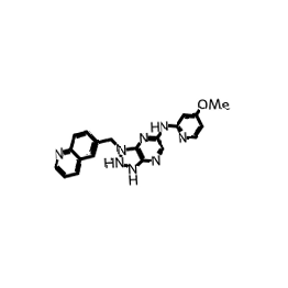 COc1ccnc(Nc2cnc3c(n2)N(Cc2ccc4ncccc4c2)NN3)c1